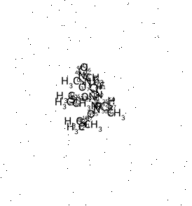 C[C@@H](C(=O)N(C)c1cc2c(nc(-c3nn(COCC[Si](C)(C)C)c4c3C[C@@H]3C[C@]3(C)C4)n2COCC[Si](C)(C)C)c(F)c1F)N1CCOCC1